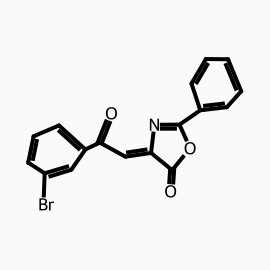 O=C1OC(c2ccccc2)=NC1=CC(=O)c1cccc(Br)c1